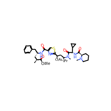 COC(=O)[C@@H](C)C[C@H](Cc1ccccc1)NC(=O)c1csc([C@@H](C[C@H](C(C)C)N(C)C(=O)[C@@H](NC(=O)[C@H]2CCCCN2C)C2CC2)OC(C)=O)n1